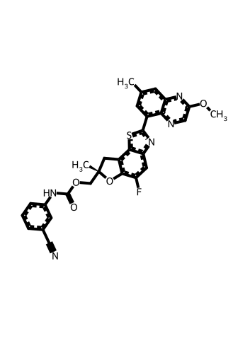 COc1cnc2c(-c3nc4cc(F)c5c(c4s3)C[C@@](C)(COC(=O)Nc3cccc(C#N)c3)O5)cc(C)cc2n1